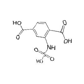 O=C(O)c1ccc(C(=O)O)c(NS(=O)(=O)O)c1